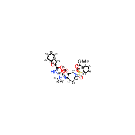 COC(=O)c1ccccc1S(=O)(=O)N1CCCC(NC(=O)[C@H](CC(C)C)NC(=O)c2cc3ccccc3o2)C(O)C1